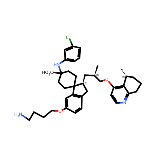 C[C@@H](COc1ccnc2c1[C@H](C)CCC2)C[C@H]1Cc2ccc(OCCCCN)cc2C12CCC(Nc1cccc(Cl)c1)(C(=O)O)CC2